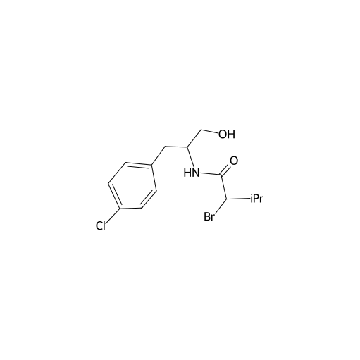 CC(C)C(Br)C(=O)NC(CO)Cc1ccc(Cl)cc1